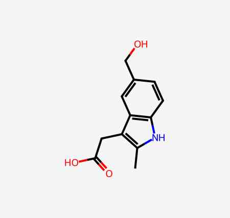 Cc1[nH]c2ccc(CO)cc2c1CC(=O)O